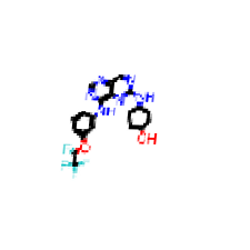 OC1CCC(Nc2ncc3ncnc(Nc4cccc(OC(F)C(F)(F)F)c4)c3n2)CC1